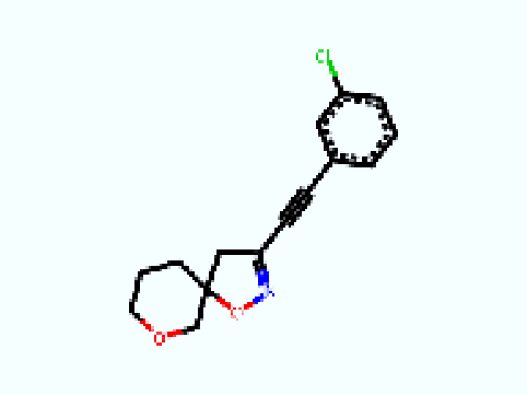 Clc1cccc(C#CC2=NOC3(CCCOC3)C2)c1